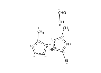 CCc1nc(C)c[nH]1.Cc1ccco1.O=CO